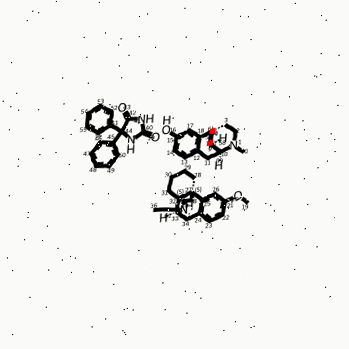 CN1CC[C@@]23CCCC[C@@H]2[C@@H]1Cc1ccc(O)cc13.COc1ccc2c(c1)[C@]13CCCC[C@@H]1[C@H](C2)N(C)CC3.O=C1NC(=O)C(c2ccccc2)(c2ccccc2)N1